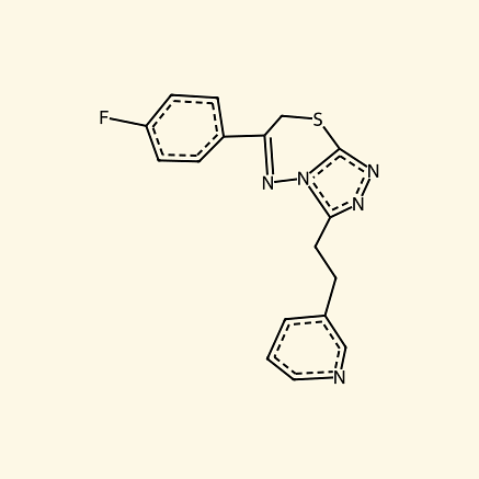 Fc1ccc(C2=Nn3c(CCc4cccnc4)nnc3SC2)cc1